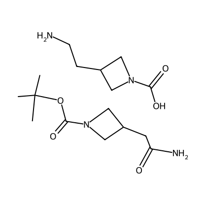 CC(C)(C)OC(=O)N1CC(CC(N)=O)C1.NCCC1CN(C(=O)O)C1